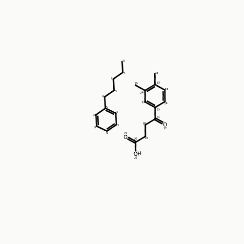 CCCCCc1ccccc1.Cc1ccc(C(=O)CCC(=O)O)cc1C